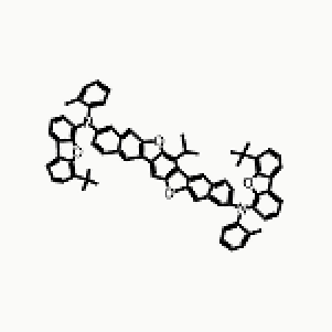 Cc1ccccc1N(c1ccc2cc3c(cc2c1)oc1c(C(C)C)c2c(cc13)oc1cc3cc(N(c4ccccc4C)c4cccc5c4oc4c(C(C)(C)C)cccc45)ccc3cc12)c1cccc2c1oc1c(C(C)(C)C)cccc12